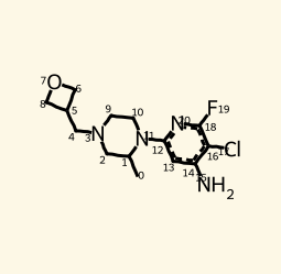 CC1CN(CC2COC2)CCN1c1cc(N)c(Cl)c(F)n1